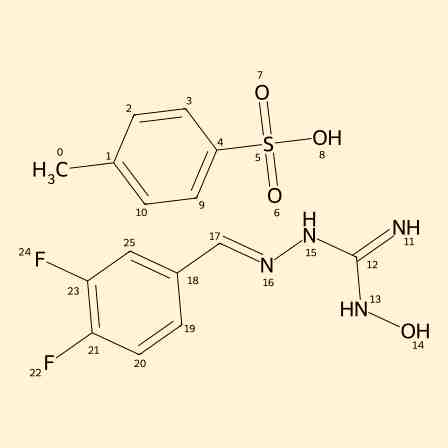 Cc1ccc(S(=O)(=O)O)cc1.N=C(NO)N/N=C/c1ccc(F)c(F)c1